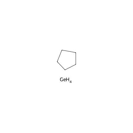 C1CCCC1.[GeH4]